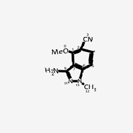 COc1c(C#N)ccc2c1c(N)nn2C